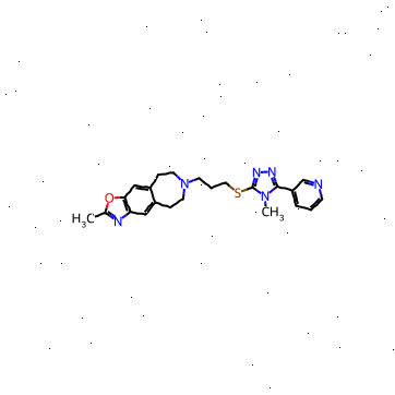 Cc1nc2cc3c(cc2o1)CCN(CCCSc1nnc(-c2cccnc2)n1C)CC3